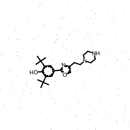 CC(C)(C)c1cc(-c2nc(CCN3CCNCC3)co2)cc(C(C)(C)C)c1O